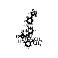 CC(C)(C)c1cccc(Nc2c(Nc3ccnc(Nc4ccc(-c5csnn5)cc4)n3)c(=O)c2=O)c1